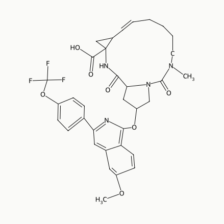 COc1ccc2c(OC3CC4C(=O)NC5(C(=O)O)CC5/C=C/CCCCN(C)C(=O)N4C3)nc(-c3ccc(OC(F)(F)F)cc3)cc2c1